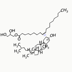 CC(C)CCC[C@@H](C)[C@H]1CC[C@H]2[C@@H]3CC=C4C[C@@H](O)CC[C@]4(C)[C@H]3CC[C@]12C.CCCCCCCC/C=C\CCCCCCCC(=O)OCC(O)CO